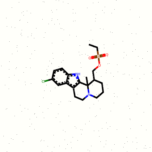 CCS(=O)(=O)OCC1CCCN2CCc3c([nH]c4ccc(Cl)cc34)C12C